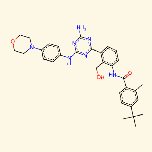 Cc1cc(C(C)(C)C)ccc1C(=O)Nc1cccc(-c2nc(N)nc(Nc3ccc(N4CCOCC4)cc3)n2)c1CO